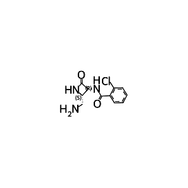 NC[C@@H]1NC(=O)[C@@H]1NC(=O)c1ccccc1Cl